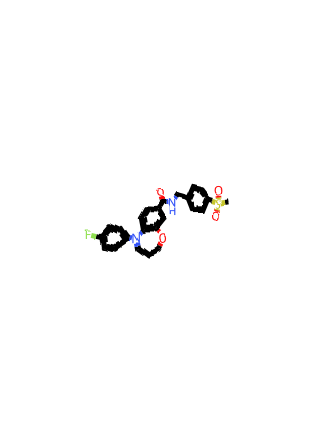 CS(=O)(=O)c1ccc(CNC(=O)c2ccc3c(c2)OCCCN3c2ccc(F)cc2)cc1